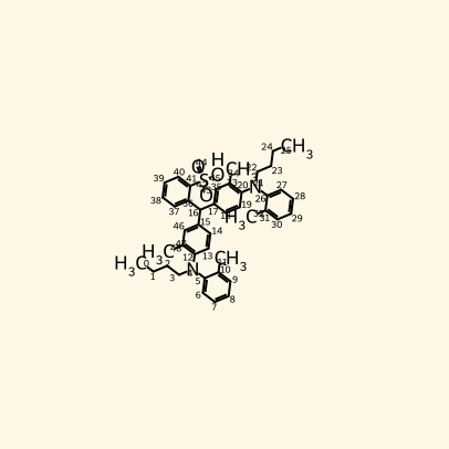 CCCCN(c1ccccc1C)c1ccc(C(c2ccc(N(CCCC)c3ccccc3C)c(C)c2)c2ccccc2S(=O)(=O)O)cc1C